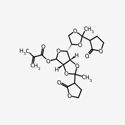 C=C(C)C(=O)OC1O[C@H](C2COC(C)(C3CCOC3=O)O2)[C@@H]2OC(C)(C3CCOC3=O)O[C@H]12